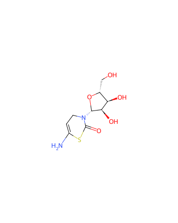 NC1=CCN([C@@H]2O[C@H](CO)[C@@H](O)[C@H]2O)C(=O)S1